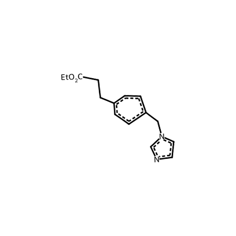 CCOC(=O)CCc1ccc(Cn2ccnc2)cc1